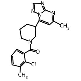 Cc1cc(C2CCCN(C(=O)c3cccc(C)c3Cl)C2)n2ncnc2n1